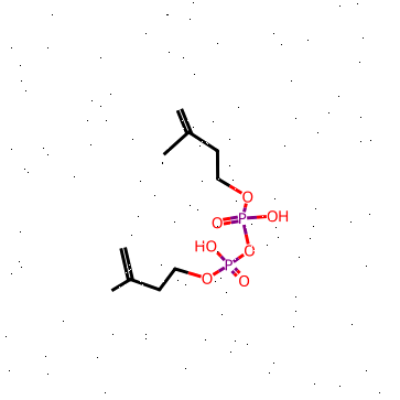 C=C(C)CCOP(=O)(O)OP(=O)(O)OCCC(=C)C